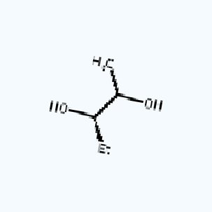 CC[C@@H](O)C(C)O